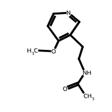 COc1ccncc1CCNC(C)=O